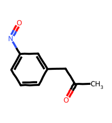 CC(=O)Cc1cccc(N=O)c1